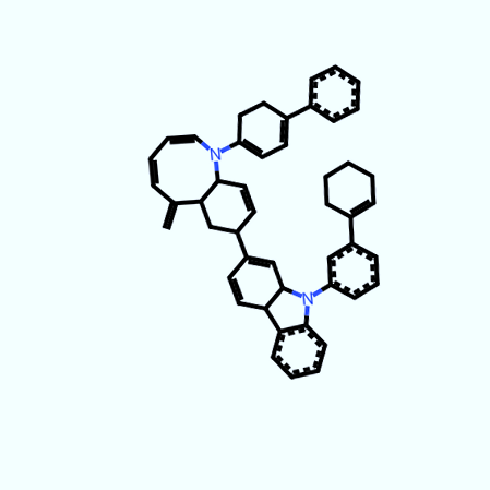 C=C1/C=C\C=C/N(C2=CC=C(c3ccccc3)CC2)C2C=CC(C3=CC4C(C=C3)c3ccccc3N4c3cccc(C4=CCCCC4)c3)CC12